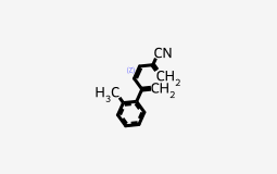 C=C(C#N)/C=C\C(=C)c1ccccc1C